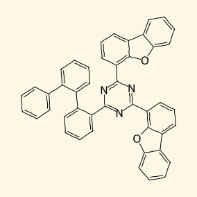 c1ccc(-c2ccccc2-c2ccccc2-c2nc(-c3cccc4c3oc3ccccc34)nc(-c3cccc4c3oc3ccccc34)n2)cc1